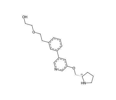 OCCOCCc1cccc(-c2cncc(OC[C@@H]3CCCN3)c2)c1